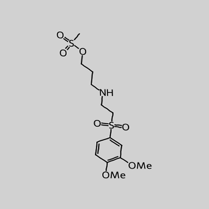 COc1ccc(S(=O)(=O)CCNCCCOS(C)(=O)=O)cc1OC